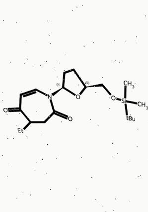 CCC1CC(=O)N([C@H]2CC[C@@H](CO[Si](C)(C)C(C)(C)C)O2)C=CC1=O